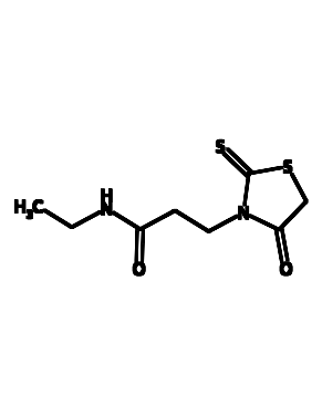 CCNC(=O)CCN1C(=O)CSC1=S